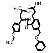 CCOc1ccc(C(CC(C)C)NC(=O)c2cc(COc3ccccc3)ccc2CCC(=O)O)cc1